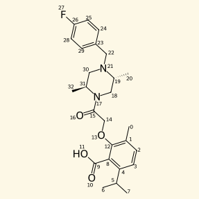 Cc1ccc(C(C)C)c(C(=O)O)c1OCC(=O)N1C[C@@H](C)N(Cc2ccc(F)cc2)C[C@@H]1C